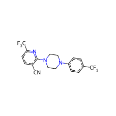 N#Cc1ccc(C(F)(F)F)nc1N1CCN(c2ccc(C(F)(F)F)cc2)CC1